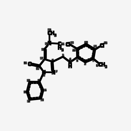 Cc1cc(NCC2=NN(c3ccccc3)C(=O)C2=CN(C)C)c(Cl)cc1Cl